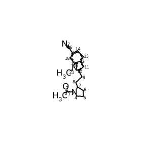 CC(=O)N1CCCC1CCc1cc2ccc(C#N)cc2n1C